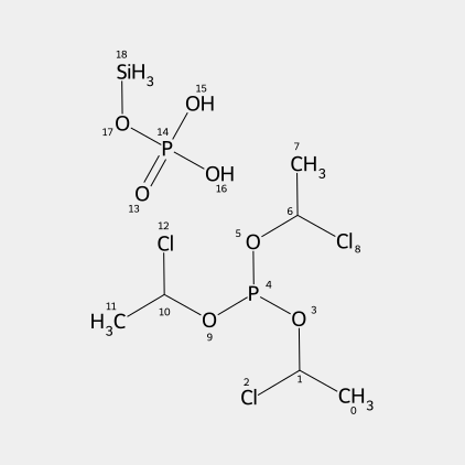 CC(Cl)OP(OC(C)Cl)OC(C)Cl.O=P(O)(O)O[SiH3]